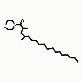 CCCCCCCCCCCCCCC(C)CC(C)C(=O)N1CCOCC1